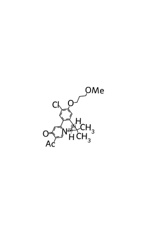 COCCCOc1cc2c(cc1Cl)-c1cc(=O)c(C(C)=O)cn1[C@H]1[C@@H]2C1(C)C